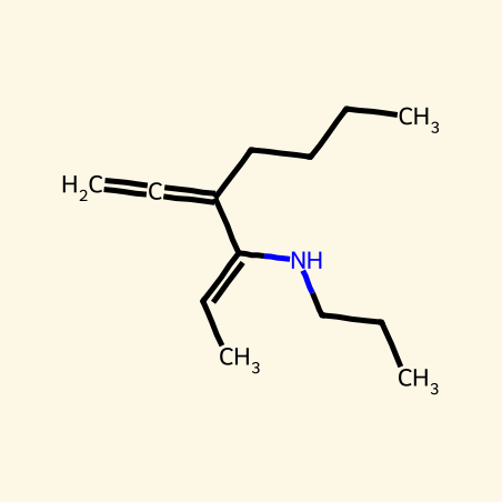 C=C=C(CCCC)C(=CC)NCCC